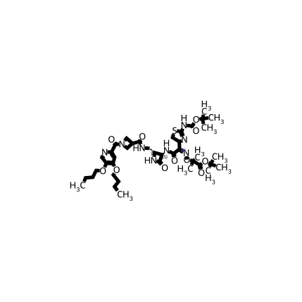 CCCCOc1cnc(C(=O)N2CC(C(=O)NC[C@H]3NC(=O)[C@H]3NC(=O)/C(=N\OC(C)(C)C(=O)OC(C)(C)C)C3CSC(NC(=O)OC(C)(C)C)=N3)C2)cc1OCCCC